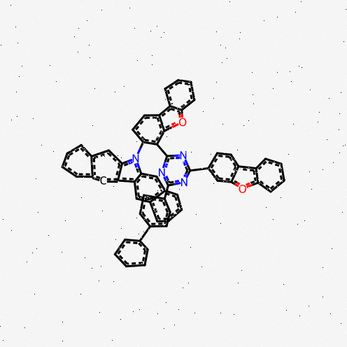 c1ccc(-c2ccc(-c3nc(-c4ccc5c(c4)oc4ccccc45)nc(-c4c(-n5c6cc7ccccc7cc6c6cc7ccccc7cc65)ccc5c4oc4ccccc45)n3)cc2)cc1